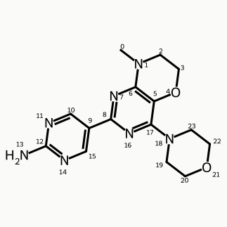 CN1CCOc2c1nc(-c1cnc(N)nc1)nc2N1CCOCC1